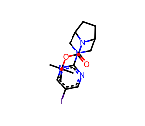 CC(C)(C)OC(=O)N1C2CCC1CN(c1ncc(I)cn1)C2